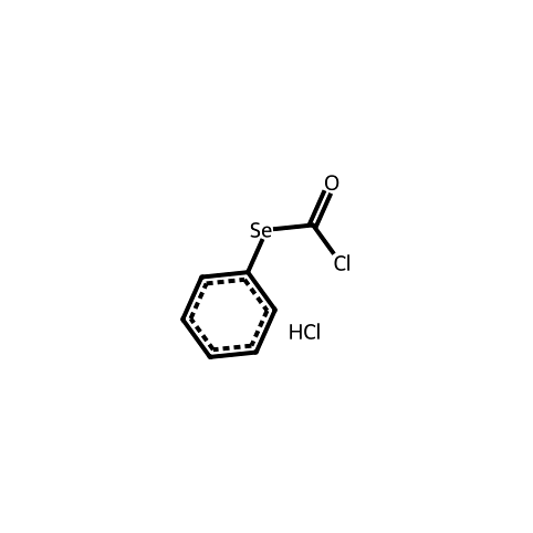 Cl.O=C(Cl)[Se]c1ccccc1